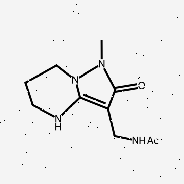 CC(=O)NCc1c2n(n(C)c1=O)CCCN2